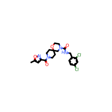 Cc1cc(C(=O)N2CCC3(CC2)CN(C(=O)NCc2ccc(Cl)cc2Cl)CCO3)no1